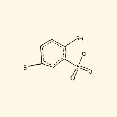 O=S(=O)(Cl)c1cc(Br)ccc1S